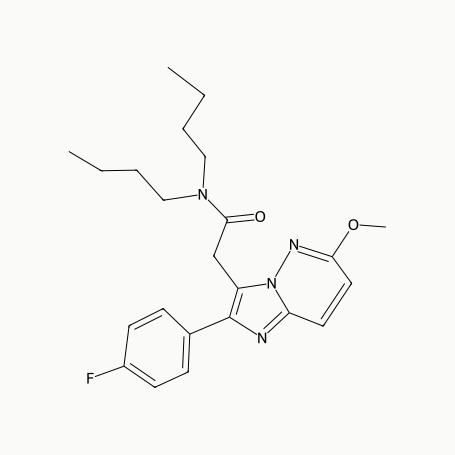 CCCCN(CCCC)C(=O)Cc1c(-c2ccc(F)cc2)nc2ccc(OC)nn12